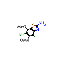 COc1c(Br)c(OC)c2sc(N)nc2c1F